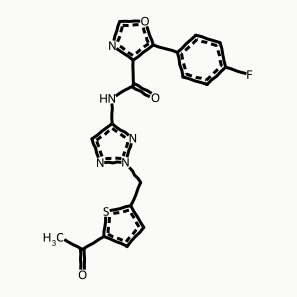 CC(=O)c1ccc(Cn2ncc(NC(=O)c3ncoc3-c3ccc(F)cc3)n2)s1